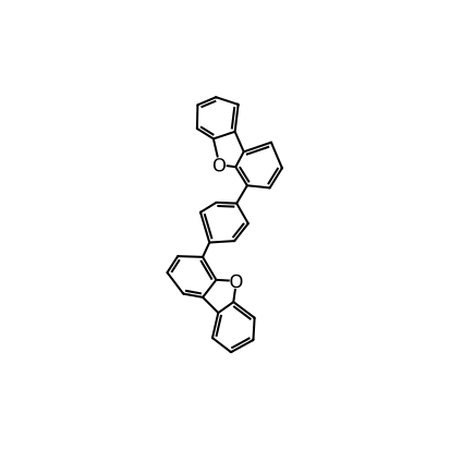 c1ccc2c(c1)oc1c(-c3ccc(-c4cccc5c4oc4ccccc45)cc3)cccc12